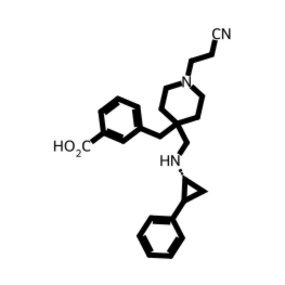 N#CCCN1CCC(CN[C@@H]2CC2c2ccccc2)(Cc2cccc(C(=O)O)c2)CC1